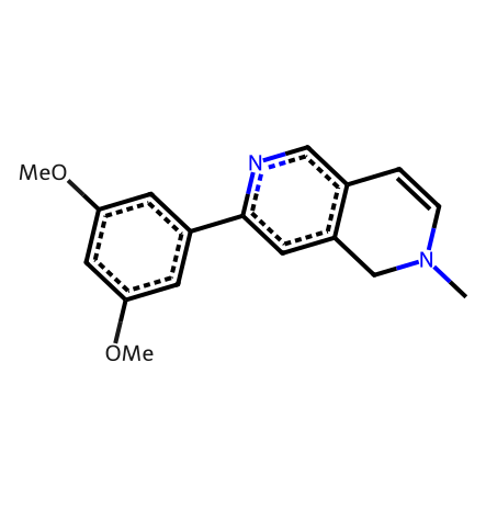 COc1cc(OC)cc(-c2cc3c(cn2)C=CN(C)C3)c1